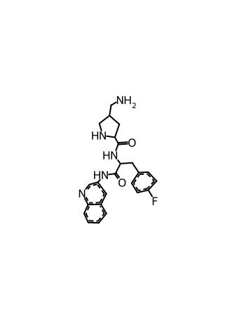 NCC1CNC(C(=O)NC(Cc2ccc(F)cc2)C(=O)Nc2cnc3ccccc3c2)C1